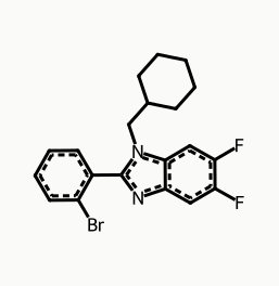 Fc1cc2nc(-c3ccccc3Br)n(CC3CCCCC3)c2cc1F